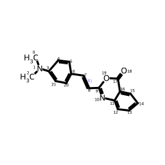 CN(C)c1ccc(/C=C/c2nc3ccccc3c(=O)o2)cc1